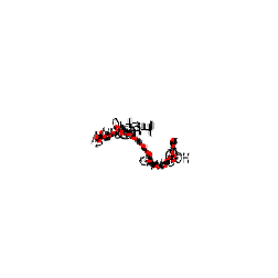 Cc1ncsc1-c1ccc(CNC(=O)[C@@H]2C[C@@H](O)CN2C(=O)[C@@H](NC(=O)CCCCCCCCCC(=O)N2CCN(Cc3ccc4c(c3)CN(C(=O)c3c(O)cc(O)c(C)c3OCc3ccccc3)C4)CC2)C(C)(C)C)cc1